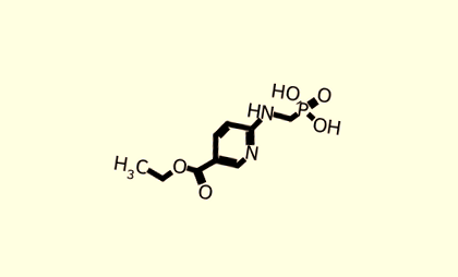 CCOC(=O)c1ccc(NCP(=O)(O)O)nc1